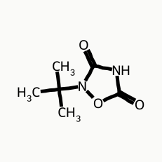 CC(C)(C)n1oc(=O)[nH]c1=O